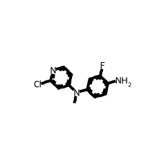 CN(c1ccnc(Cl)c1)c1ccc(N)c(F)c1